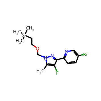 Cc1c(F)c(-c2ccc(Br)cn2)nn1COCC[Si](C)(C)C